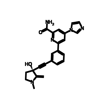 C=C1N(C)CC[C@@]1(O)C#Cc1cccc(-c2cc(-n3ccnc3)cc(C(N)=O)n2)c1